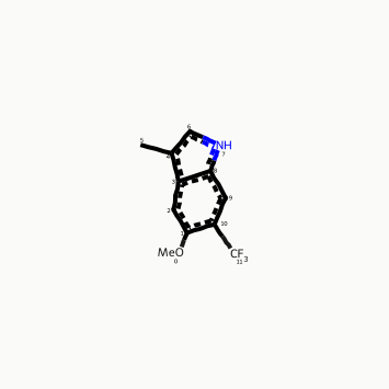 COc1cc2c(C)c[nH]c2cc1C(F)(F)F